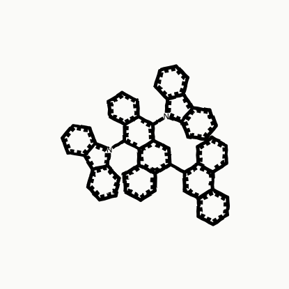 c1ccc2c(c1)cc(-c1cc3c(-n4c5ccccc5c5ccccc54)c4ccccc4c(-n4c5ccccc5c5ccccc54)c3c3ccccc13)c1ccccc12